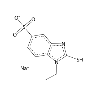 CCn1c(S)nc2cc(S(=O)(=O)[O-])ccc21.[Na+]